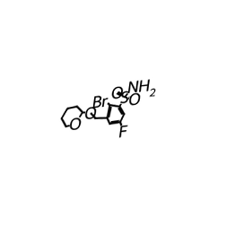 NS(=O)(=O)c1cc(F)cc(COC2CCCCO2)c1Br